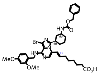 COc1ccc(CNc2ncc(/C=C/CCCCCC(=O)O)n3c([C@@H]4CCC[C@@H](NC(=O)OCc5ccccc5)C4)nc(Br)c23)c(OC)c1